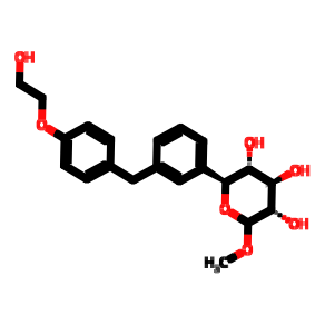 COC1O[C@@H](c2cccc(Cc3ccc(OCCO)cc3)c2)[C@H](O)[C@@H](O)[C@@H]1O